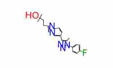 Cc1c(-c2ccc3nc(CCC(C)(C)O)cn3c2)nnn1-c1ccc(F)cc1